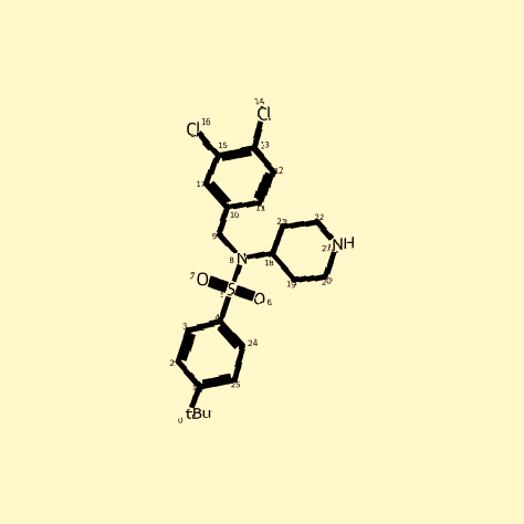 CC(C)(C)c1ccc(S(=O)(=O)N(Cc2ccc(Cl)c(Cl)c2)C2CCNCC2)cc1